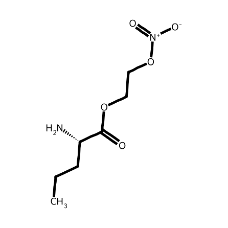 CCC[C@H](N)C(=O)OCCO[N+](=O)[O-]